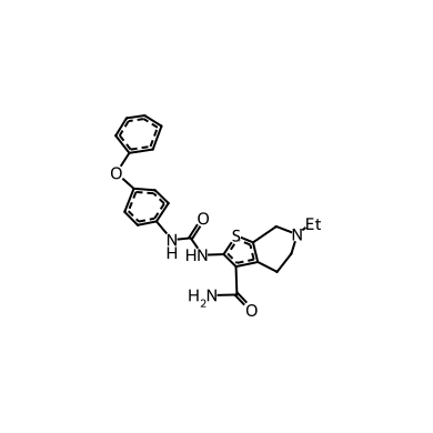 CCN1CCc2c(sc(NC(=O)Nc3ccc(Oc4ccccc4)cc3)c2C(N)=O)C1